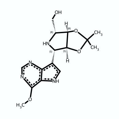 COc1ncnc2c([C@@H]3N[C@H](CO)[C@H]4OC(C)(C)O[C@H]43)c[nH]c12